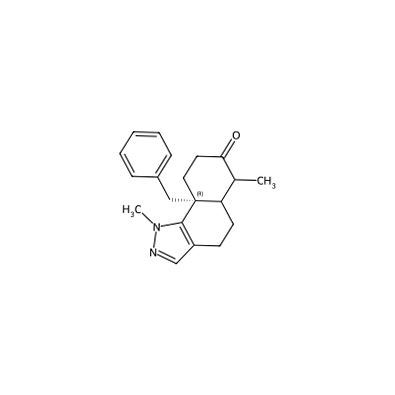 CC1C(=O)CC[C@]2(Cc3ccccc3)c3c(cnn3C)CCC12